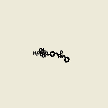 CC(C)(C)OC(=O)OCc1ccc(C=CC(=O)NCc2ccccc2)cc1